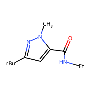 CCCCc1cc(C(=O)NCC)n(C)n1